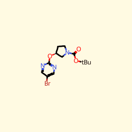 CC(C)(C)OC(=O)N1CC[C@H](Oc2ncc(Br)cn2)C1